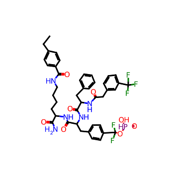 CCc1ccc(C(=O)NCCCCC(NC(=O)C(Cc2ccc(C(F)(F)O[PH](=O)O)cc2)NC(=O)C(Cc2ccccc2)NC(=O)Cc2cccc(C(F)(F)F)c2)C(N)=O)cc1